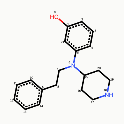 Oc1cccc(N(CCc2ccccc2)C2CCNCC2)c1